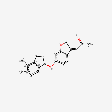 COC(=O)/C=C1\COc2cc(O[C@@H]3CCc4c3ccc(C(F)(F)F)c4C=O)ccc21